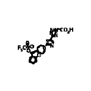 O=C(O)Cn1nnc(-c2cnc(N3CCC4(C=C(OS(=O)(=O)C(F)(F)F)c5ccccc5O4)CC3)s2)n1